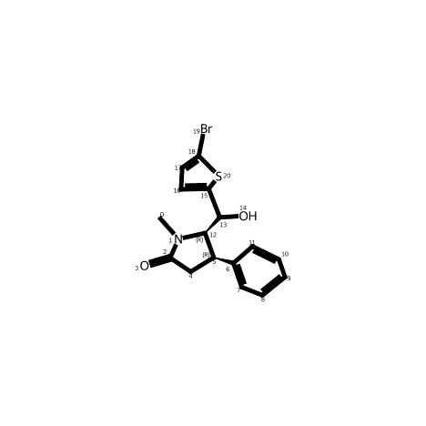 CN1C(=O)C[C@H](c2ccccc2)[C@@H]1C(O)c1ccc(Br)s1